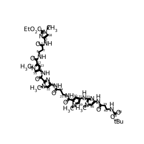 CCOC(=O)c1nc(NC(=O)CCNC(=O)c2cc(NC(=O)c3nc(NC(=O)CCNC(=O)c4cc(Nc5nc(NC(=O)CCNC(=O)OC(C)(C)C)cn5C)cn4C)cn3C)cn2C)cn1C